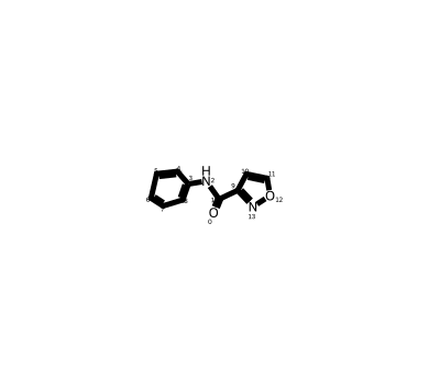 O=C(Nc1[c]cccc1)c1ccon1